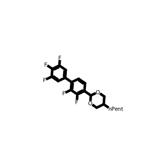 CCCCCC1COC(c2ccc(-c3cc(F)c(F)c(F)c3)c(F)c2F)OC1